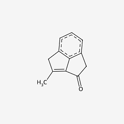 CC1=C2C(=O)Cc3cccc(c32)C1